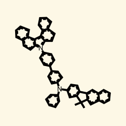 CC1(C)c2cc(N(c3ccccc3)c3ccc(-c4ccc(-n5c6ccc7ccccc7c6c6c7ccccc7ccc65)cc4)cc3)ccc2-c2cc3ccccc3cc21